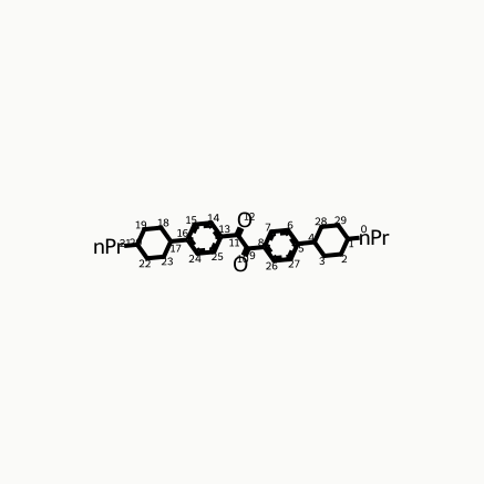 CCCC1CCC(c2ccc(C(=O)C(=O)c3ccc(C4CCC(CCC)CC4)cc3)cc2)CC1